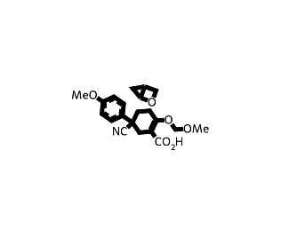 C1OC2CC12.COCOC1=C(C(=O)O)CC(C#N)(c2ccc(OC)cc2)CC1